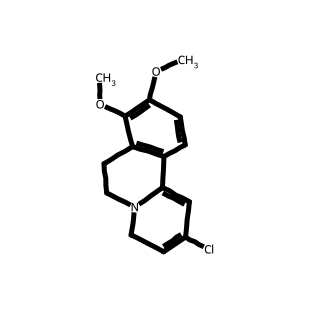 COc1ccc2c(c1OC)CCN1CC=C(Cl)C=C21